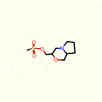 CS(=O)(=O)OCC1CN2CCCC2CO1